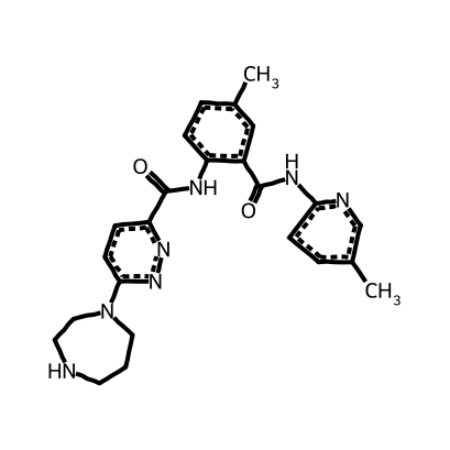 Cc1ccc(NC(=O)c2cc(C)ccc2NC(=O)c2ccc(N3CCCNCC3)nn2)nc1